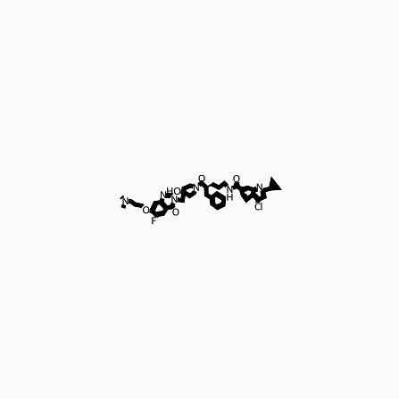 CN(C)CCCOc1cc2ncn(CC3(O)CCN(C(=O)[C@@H](CCCNC(=O)c4ccc5c(Cl)cc(C6CC6)nc5c4)Cc4ccccc4)CC3)c(=O)c2cc1F